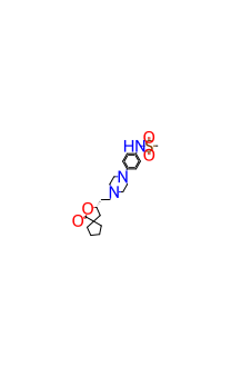 CS(=O)(=O)Nc1ccc(N2CCN(CC[C@@H]3CC4(CCCC4)C(=O)O3)CC2)cc1